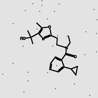 CCN(CCc1nc(C(C)(C)O)c(C)o1)C(=O)c1ccccc1C1CC1